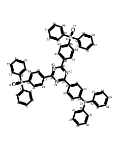 O=P(c1ccccc1)(c1ccccc1)c1ccc(-c2nc(-c3ccc(P(c4ccccc4)c4ccccc4)cc3)nc(-c3ccc(P(=O)(c4ccccc4)c4ccccc4)cc3)n2)cc1